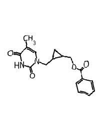 Cc1cn(CC2CC2COC(=O)c2ccccc2)c(=O)[nH]c1=O